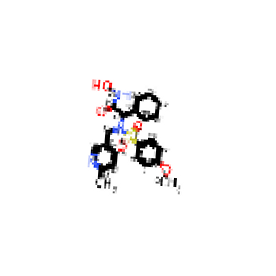 COc1ccc(S(=O)(=O)N(Cc2ccc(C)nc2)C(C(=O)NO)C2CCCCC2)cc1